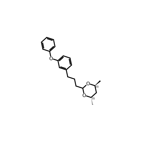 C[C@H]1C[C@H](C)OC(CCCc2cccc(Oc3ccccc3)c2)O1